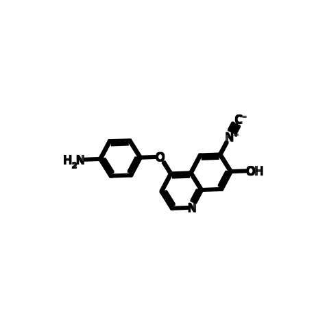 [C-]#[N+]c1cc2c(Oc3ccc(N)cc3)ccnc2cc1O